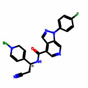 N#CC[C@H](NC(=O)c1cncc2c1cnn2-c1ccc(F)cc1)C1=CCN(Br)C=C1